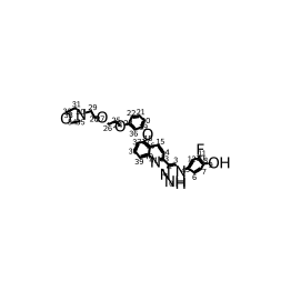 N=N/C(=C\Nc1ccc(O)c(F)c1)c1ccc2c(Oc3cccc(OCCOCCN4CCOCC4)c3)cccc2n1